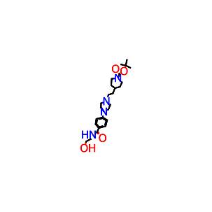 CC(C)(C)OC(=O)N1CCC(CCN2CCN(c3ccc(C(=O)NCCO)cc3)CC2)CC1